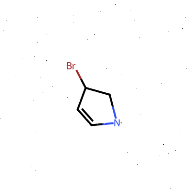 BrC1C=C[N]C1